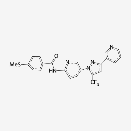 CSc1ccc(C(=O)Nc2ccc(-n3nc(-c4cccnc4)cc3C(F)(F)F)cn2)cc1